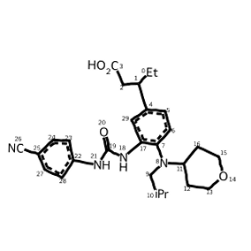 CCC(CC(=O)O)c1ccc(N(CC(C)C)C2CCOCC2)c(NC(=O)Nc2ccc(C#N)cc2)c1